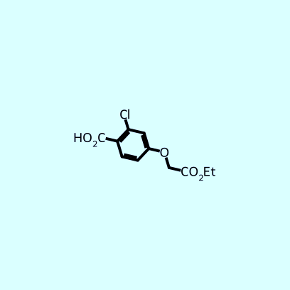 CCOC(=O)COc1ccc(C(=O)O)c(Cl)c1